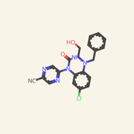 N#Cc1cnc(N(C(N)=O)c2cc(Cl)ccc2N(CCO)Cc2ccccc2)cn1